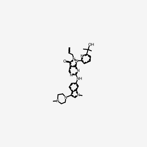 C=CCn1c(=O)c2cnc(Nc3ccc4c(N5CCN(C)CC5)cn(C)c4c3)nc2n1-c1cccc(C(C)(C)O)n1